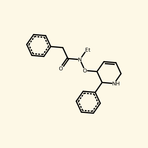 CCN(OC1C=CCNC1c1ccccc1)C(=O)Cc1ccccc1